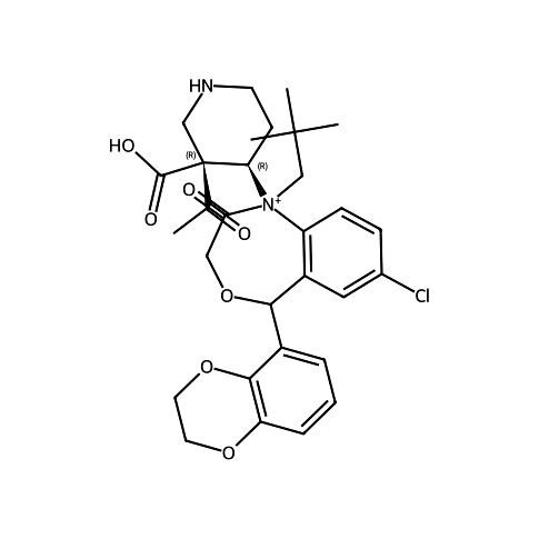 CC(=O)[C@@]1(C(=O)O)CNCC[C@H]1[N+]1(CC(C)(C)C)C(=O)COC(c2cccc3c2OCCO3)c2cc(Cl)ccc21